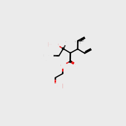 C=CC(C=C)C(C(=O)OCCO)C(O)(CC(=O)O)C(=O)O